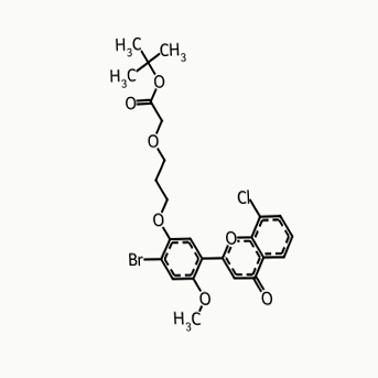 COc1cc(Br)c(OCCCOCC(=O)OC(C)(C)C)cc1-c1cc(=O)c2cccc(Cl)c2o1